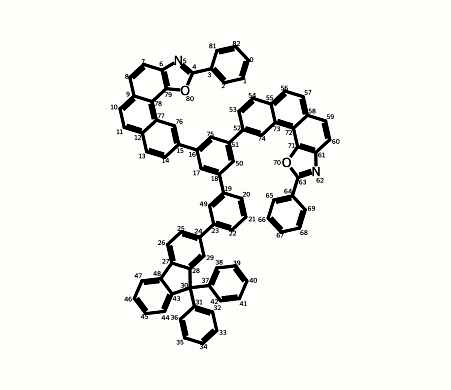 c1ccc(-c2nc3ccc4ccc5ccc(-c6cc(-c7cccc(-c8ccc9c(c8)C(c8ccccc8)(c8ccccc8)c8ccccc8-9)c7)cc(-c7ccc8ccc9ccc%10nc(-c%11ccccc%11)oc%10c9c8c7)c6)cc5c4c3o2)cc1